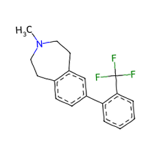 CN1CCc2ccc(-c3ccccc3C(F)(F)F)cc2CC1